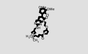 COc1cc(OC)c(Cl)c(-c2cc3cnc(NCC4COC4)nc3n(CCOC3CCN(C(=O)/C=C/CN(C)C)C3)c2=O)c1